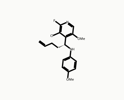 C=CCC[C@@H](Nc1ccc(OC)cc1)c1c(OC)cnc(F)c1Cl